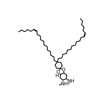 CCCCC/C=C\CCCCCCCCCCCC1(CCCCCCCCCCC/C=C\CCCCC)CCC2(CC1)OC1C[C@@H](NC)[C@@H](NC)C[C@H]1O2